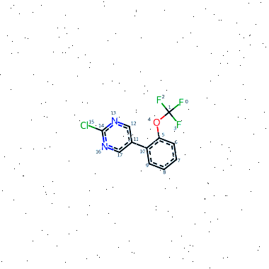 FC(F)(F)Oc1ccccc1-c1cnc(Cl)nc1